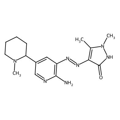 Cc1c(/N=N/c2cc(C3CCCCN3C)cnc2N)c(=O)[nH]n1C